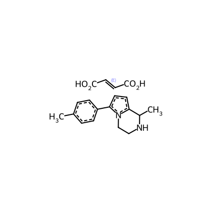 Cc1ccc(-c2ccc3n2CCNC3C)cc1.O=C(O)/C=C/C(=O)O